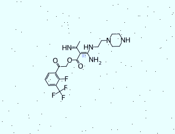 CC(=N)/C(C(=O)OCC(=O)c1cccc(C(F)(F)F)c1F)=C(/N)NCCN1CCNCC1